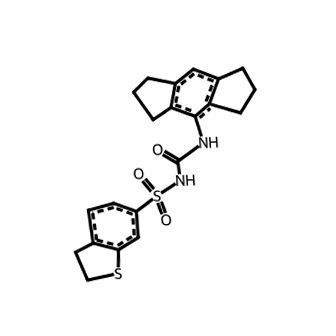 O=C(Nc1c2c(cc3c1CCC3)CCC2)NS(=O)(=O)c1ccc2c(c1)SCC2